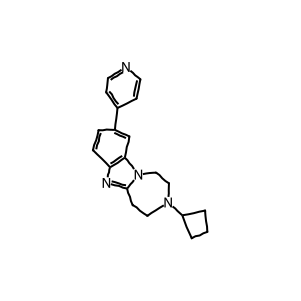 c1cc(-c2ccc3nc4n(c3c2)CCN(C2CCC2)CC4)ccn1